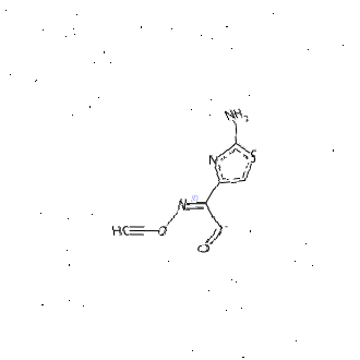 C#CO/N=C(\[C]=O)c1csc(N)n1